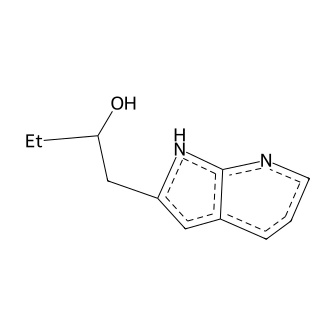 CCC(O)Cc1cc2cccnc2[nH]1